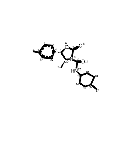 Cc1ccc([C@@H]2OC(=O)N(C(=O)NC3CCC(C)CC3)[C@H]2C)cc1